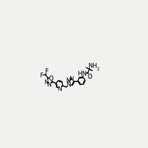 CC(C)(N)C(=O)Nc1cccc(-c2cn(Cc3ccc(-c4nnc(C(F)F)o4)cn3)nn2)c1